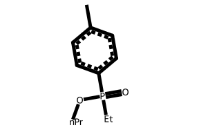 CCCOP(=O)(CC)c1ccc(C)cc1